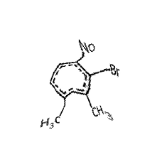 Cc1ccc(N=O)c(Br)c1C